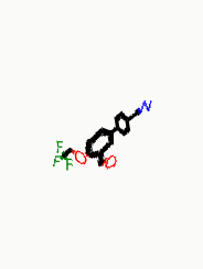 N#Cc1ccc(-c2ccc(OCC(F)(F)F)c(C=O)c2)cc1